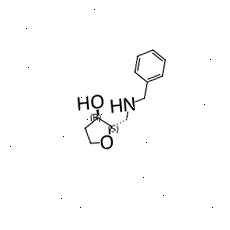 O[C@@H]1CCO[C@H]1CNCc1ccccc1